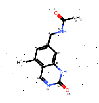 CC(=O)NCc1cc(C)c2cnc(=O)[nH]c2c1